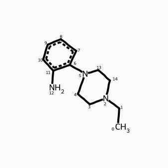 CCN1CCN(c2ccccc2N)CC1